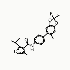 Cc1cc2c(cc1-c1ccc(NC(=O)c3c(C)coc3C(C)C)cc1)OC(F)(F)O2